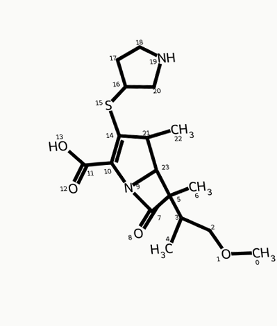 COCC(C)C1(C)C(=O)N2C(C(=O)O)=C(SC3CCNC3)C(C)C21